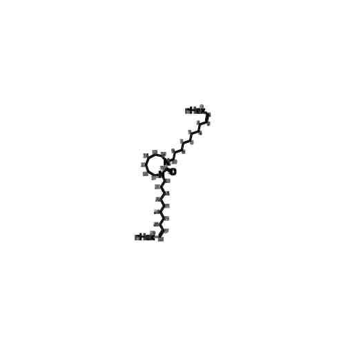 CCCCCC/C=C\CCCCCCCCN1CCCCCCN(CCCCCCCC/C=C\CCCCCC)C1=O